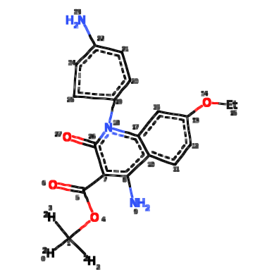 [2H]C([2H])([2H])OC(=O)c1c(N)c2ccc(OCC)cc2n(-c2ccc(N)cc2)c1=O